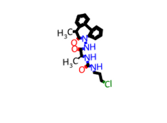 CC1C(=O)N(NC(=O)[C@H](C)NC(=O)NCCCCl)c2ccccc2-c2ccccc21